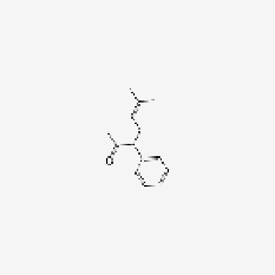 CC(=O)C(CC=C(C)C)c1ccccc1